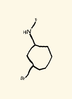 FNC1CCCC(Br)C1